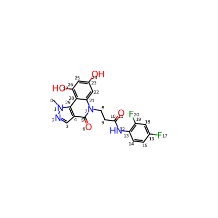 Cn1ncc2c(=O)n(CCC(=O)Nc3ccc(F)cc3F)c3cc(O)cc(O)c3c21